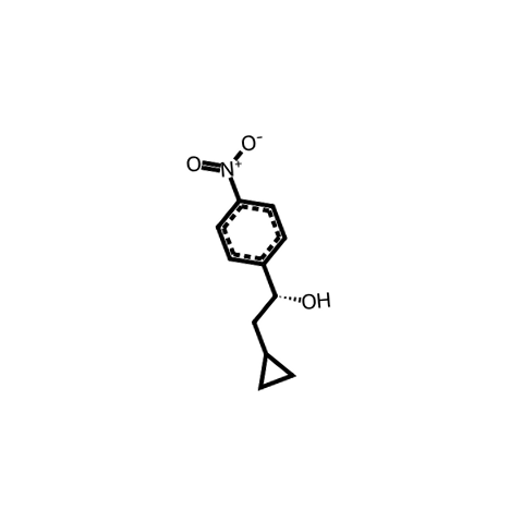 O=[N+]([O-])c1ccc([C@H](O)CC2CC2)cc1